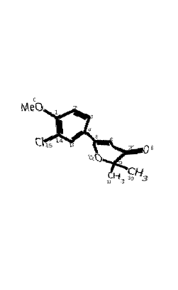 COc1ccc(C2=CC(=O)C(C)(C)O2)cc1Cl